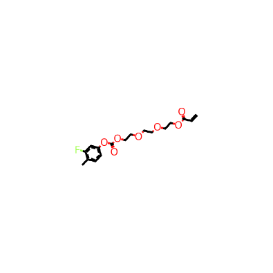 C=CC(=O)OCCOCCOCCOC(=O)Oc1ccc(C)c(F)c1